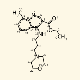 CCOC(=O)c1cnc2c(C)cccc2c1NCCCN1CCOCC1